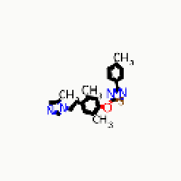 Cc1ccc(-c2nsc(Oc3cc(C)c(CCn4cncc4C)cc3C)n2)cc1